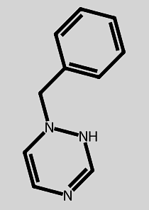 C1=CN(Cc2ccccc2)NC=N1